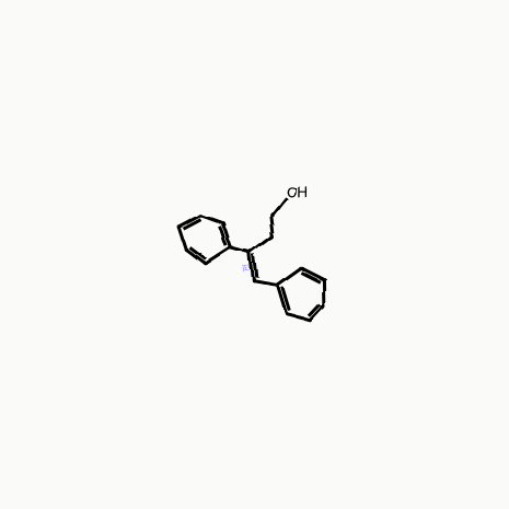 OCC/C(=C\c1ccccc1)c1ccccc1